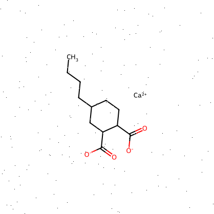 CCCCC1CCC(C(=O)[O-])C(C(=O)[O-])C1.[Ca+2]